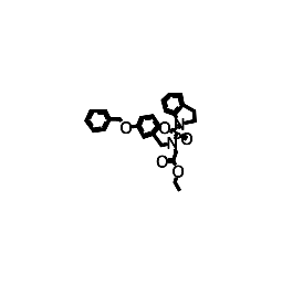 CCOC(=O)CN(Cc1cccc(OCc2ccccc2)c1)S(=O)(=O)N1CCc2ccccc21